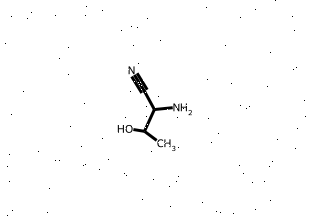 CC(O)C(N)C#N